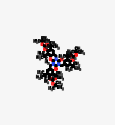 CC(C)(C)OC(=O)Oc1c(C(C)(C)C)cc(Cn2c(=O)n(Cc3cc(C(C)(C)C)c(OC(=O)OC(C)(C)C)c(C(C)(C)C)c3)c(=O)n(Cc3cc(C(C)(C)C)c(OC(=O)OC(C)(C)C)c(C(C)(C)C)c3)c2=O)cc1C(C)(C)C